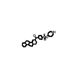 C1=CC=CNC=C1.O=C(c1ccc(S(=O)(=O)F)cc1)C1C=c2c(ccc3c2=CCc2ccccc2-3)CC1